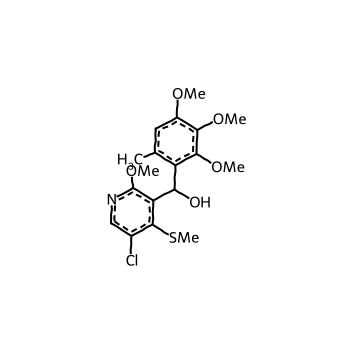 COc1cc(C)c(C(O)c2c(OC)ncc(Cl)c2SC)c(OC)c1OC